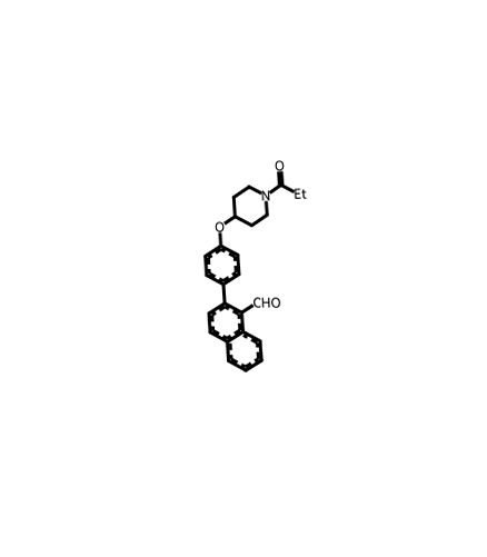 CCC(=O)N1CCC(Oc2ccc(-c3ccc4ccccc4c3C=O)cc2)CC1